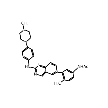 CC(=O)Nc1ccc(C)c(-c2ccc3nc(Nc4ccc(N5CCN(C)CC5)cc4)ncc3c2)c1